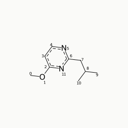 COc1ccnc(CC(C)C)n1